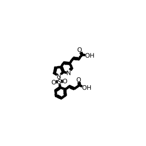 O=C(O)/C=C/c1cnc2c(ccn2S(=O)(=O)c2ccccc2/C=C/C(=O)O)c1